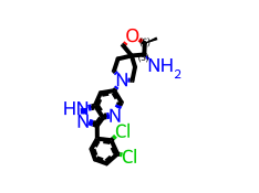 C[C@@H]1OCC2(CCN(c3cnc4c(-c5cccc(Cl)c5Cl)n[nH]c4c3)CC2)[C@@H]1N